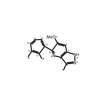 COc1cc2[nH]nc(C)c2nc1-c1cccc(C)c1C